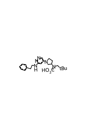 CC(C)(C)CN(C(=O)O)C1CCN(c2cnnc(NCCc3ccccc3)c2)C1